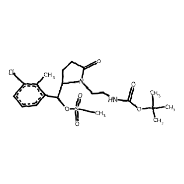 Cc1c(Cl)cccc1C(OS(C)(=O)=O)C1CCC(=O)N1CCNC(=O)OC(C)(C)C